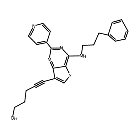 OCCCC#Cc1csc2c(NCCCc3ccccc3)nc(-c3ccncc3)nc12